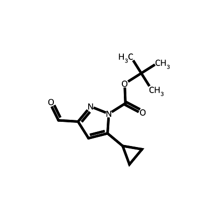 CC(C)(C)OC(=O)n1nc(C=O)cc1C1CC1